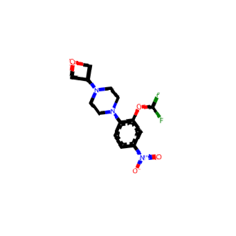 O=[N+]([O-])c1ccc(N2CCN(C3COC3)CC2)c(OC(F)F)c1